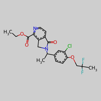 CCOC(=O)c1nccc2c1CN(C(C)c1ccc(OCC(C)(F)F)c(Cl)c1)C2=O